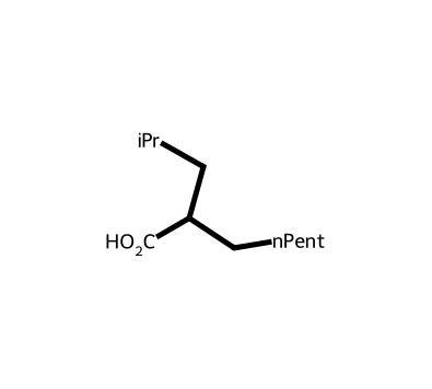 CCCCCCC(CC(C)C)C(=O)O